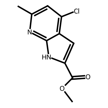 COC(=O)c1cc2c(Cl)cc(C)nc2[nH]1